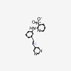 O=[N+]([O-])c1cccnc1Nc1cccc(/C=C/c2cncnc2)c1